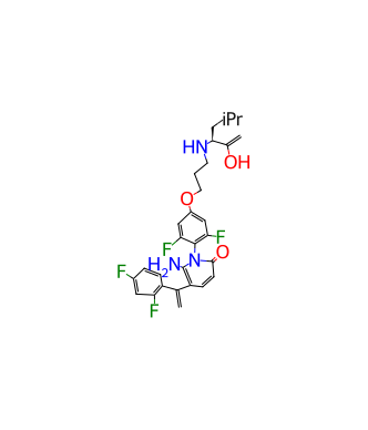 C=C(c1ccc(F)cc1F)c1ccc(=O)n(-c2c(F)cc(OCCCN[C@@H](CC(C)C)C(=C)O)cc2F)c1N